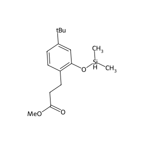 COC(=O)CCc1ccc(C(C)(C)C)cc1O[SiH](C)C